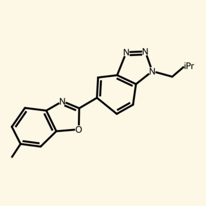 Cc1ccc2nc(-c3ccc4c(c3)nnn4CC(C)C)oc2c1